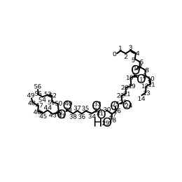 CCC/C=C\CCC(CC/C=C\CCC)OC(=O)CCCCCC(=O)OCC(CO)COC(=O)CCCCCC(=O)OC(CC/C=C\CCC)CC/C=C\CCC